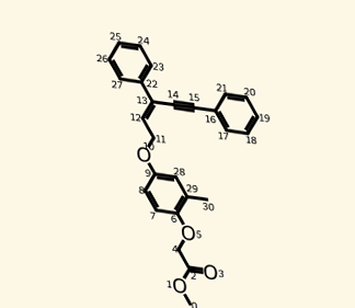 COC(=O)COc1ccc(OC/C=C(\C#Cc2ccccc2)c2ccccc2)cc1C